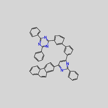 c1ccc(-c2nc(-c3cccc(-c4cccc(-c5nc(-c6ccccc6)nc(-c6ccccc6)n5)c4)c3)cc(-c3ccc4c(ccc5ccccc54)c3)n2)cc1